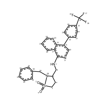 O=S1(=O)CCC(CNc2ncc(-c3ccc(C(F)(F)F)cc3)c3ncccc23)N1Cc1ccccc1